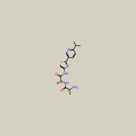 CC(C)c1ccc(-c2nc(NC(=O)[C@H](C)NC(=O)[C@H](C)N)cs2)cn1